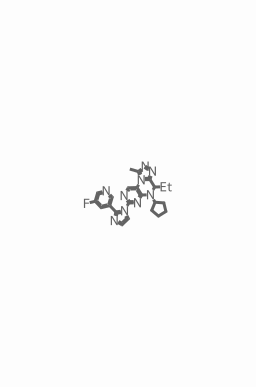 CCC1c2nnc(C)n2-c2cnc(-n3ccnc3-c3cncc(F)c3)nc2N1C1CCCC1